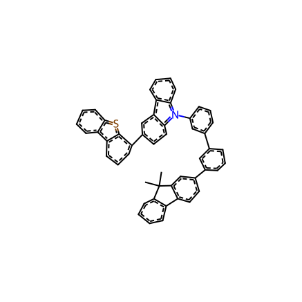 CC1(C)c2ccccc2-c2ccc(-c3cccc(-c4cccc(-n5c6ccccc6c6cc(-c7cccc8c7sc7ccccc78)ccc65)c4)c3)cc21